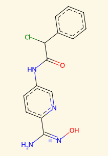 N/C(=N/O)c1ccc(NC(=O)C(Cl)c2ccccc2)cn1